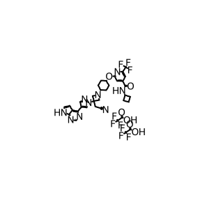 N#CCC1(n2cc(-c3ncnc4[nH]ccc34)cn2)CN([C@H]2CC[C@@H](Oc3cc(C(=O)NC4CCC4)cc(C(F)(F)F)n3)CC2)C1.O=C(O)C(F)(F)F.O=C(O)C(F)(F)F